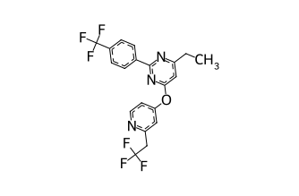 CCc1cc(Oc2ccnc(CC(F)(F)F)c2)nc(-c2ccc(C(F)(F)F)cc2)n1